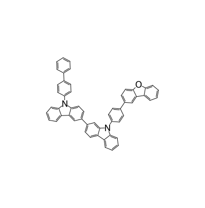 c1ccc(-c2ccc(-n3c4ccccc4c4cc(-c5ccc6c7ccccc7n(-c7ccc(-c8ccc9oc%10ccccc%10c9c8)cc7)c6c5)ccc43)cc2)cc1